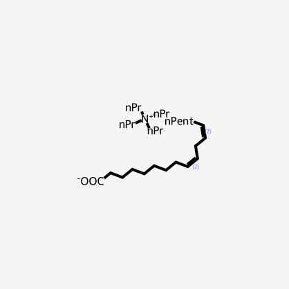 CCCCC/C=C\C/C=C\CCCCCCCC(=O)[O-].CCC[N+](CCC)(CCC)CCC